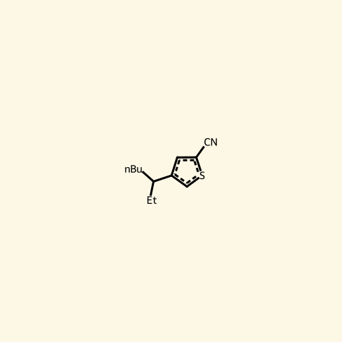 CCCCC(CC)c1csc(C#N)c1